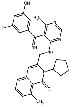 Cc1cccc2cc(CNc3ncnc(N)c3C(=N)c3cc(O)cc(F)c3)n(C3CCCC3)c(=O)c12